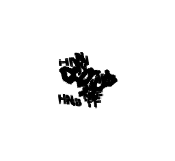 Cc1cccc(Cc2c(NCc3ccc(-c4ccccc4-c4nnn[nH]4)cc3)nc(C)nc2C(F)(F)F)c1.[NaH]